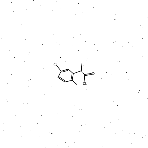 Cc1ccc(Cl)cc1C(C)C(=O)Cl